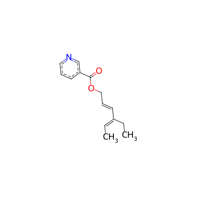 CC=C(C=CCOC(=O)c1cccnc1)CC